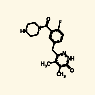 Cc1c(Cc2ccc(F)c(C(=O)N3CCNCC3)c2)n[nH]c(=O)c1C